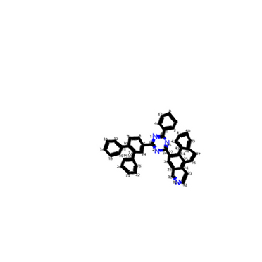 c1ccc(-c2nc(-c3ccc(-c4ccccc4)c(-c4ccccc4)c3)nc(-c3cc4cnccc4c4ccc5ccccc5c34)n2)cc1